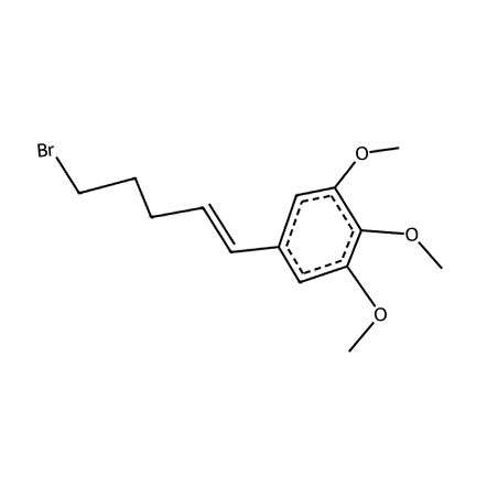 COc1cc(C=CCCCBr)cc(OC)c1OC